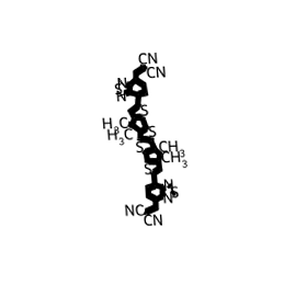 CC1(C)c2cc(-c3ccc(C=C(C#N)C#N)c4nsnc34)sc2-c2sc3c4c(sc3c21)-c1sc(-c2ccc(C=C(C#N)C#N)c3nsnc23)cc1C4(C)C